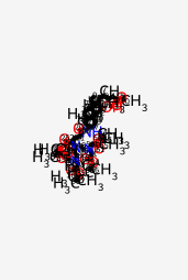 COC(=O)CC[C@@H](C)[C@H]1CC[C@H]2[C@@H]3CC[C@@H]4C[C@H](NC(=O)CCC(C(=O)OC)N(CCN(CC(=O)OC(C)(C)C)CC(=O)OC(C)(C)C)CCN(CC(=O)OC(C)(C)C)CC(=O)OC(C)(C)C)CC[C@]4(C)[C@H]3C[C@H](O)[C@]12C